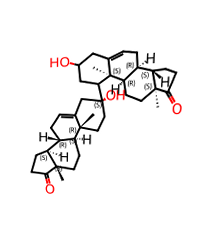 C[C@]12CC[C@@](O)(C3CC(O)CC4=CC[C@@H]5[C@@H](CC[C@]6(C)C(=O)CC[C@@H]56)[C@]43C)CC1=CC[C@@H]1[C@@H]2CC[C@]2(C)C(=O)CC[C@@H]12